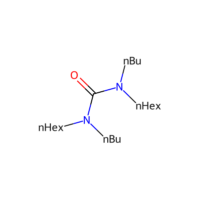 CCCCCCN(CCCC)C(=O)N(CCCC)CCCCCC